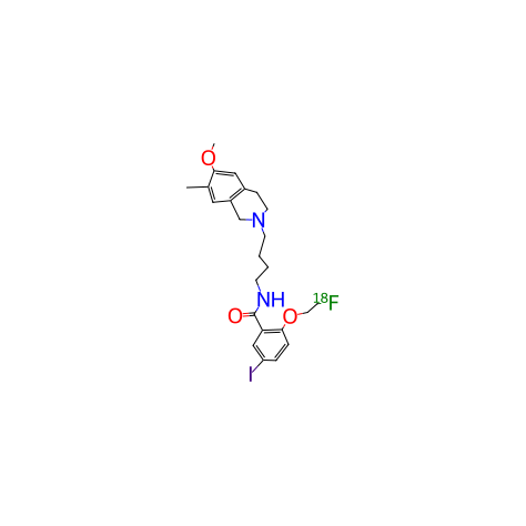 COc1cc2c(cc1C)CN(CCCCNC(=O)c1cc(I)ccc1OCC[18F])CC2